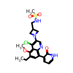 CCc1cc(-c2ccc[nH]c2=O)c2ncc(N3CC(CNS(C)(=O)=O)C3)c(Cl)c2c1OC